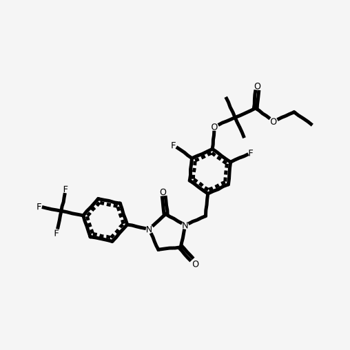 CCOC(=O)C(C)(C)Oc1c(F)cc(CN2C(=O)CN(c3ccc(C(F)(F)F)cc3)C2=O)cc1F